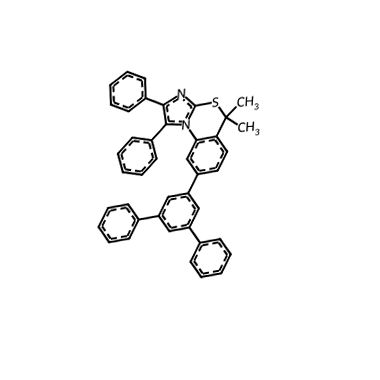 CC1(C)Sc2nc(-c3ccccc3)c(-c3ccccc3)n2-c2cc(-c3cc(-c4ccccc4)cc(-c4ccccc4)c3)ccc21